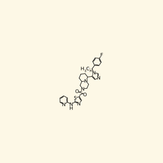 C[C@H](c1ccc(F)cc1)n1cncc1C1CCCC2CN(S(=O)(=O)c3cnc(Nc4ccccn4)s3)CCN21